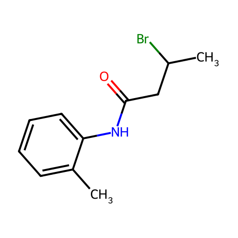 Cc1ccccc1NC(=O)CC(C)Br